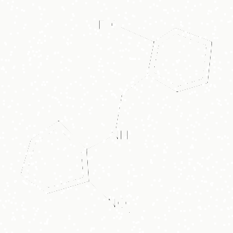 O=[N+]([O-])c1ccccc1NCc1ccccc1C(F)(F)F